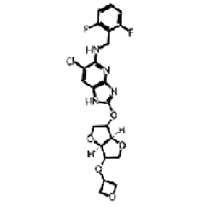 Fc1cccc(F)c1CNc1nc2nc(O[C@@H]3CO[C@H]4[C@@H]3OC[C@H]4OC3COC3)[nH]c2cc1Cl